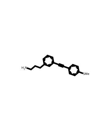 CSc1ccc(C#Cc2cccc(CCCN)c2)cc1